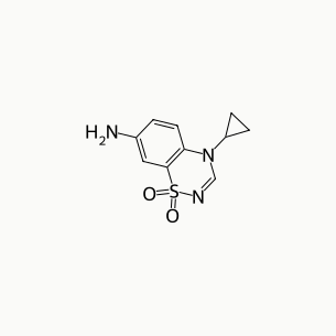 Nc1ccc2c(c1)S(=O)(=O)N=CN2C1CC1